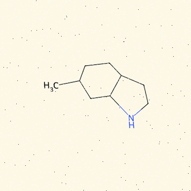 CC1CCC2CCNC2C1